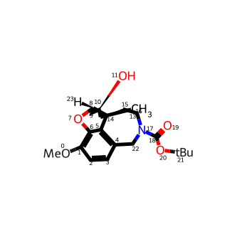 COc1ccc2c3c1O[C@H]1C[C@@H](O)C(C)[C@@]31CCN(C(=O)OC(C)(C)C)C2